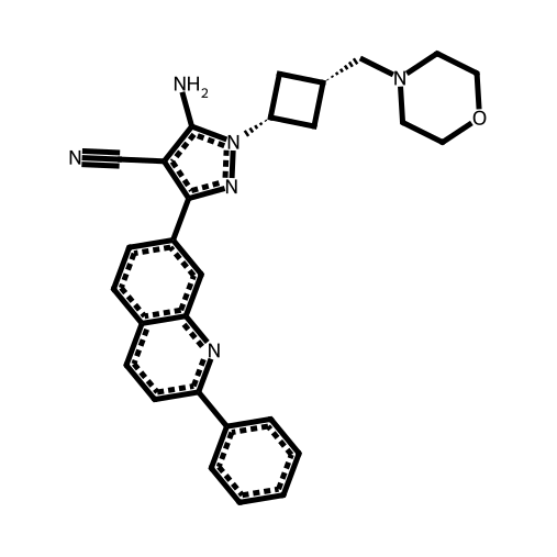 N#Cc1c(-c2ccc3ccc(-c4ccccc4)nc3c2)nn([C@H]2C[C@@H](CN3CCOCC3)C2)c1N